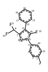 Cc1ccc(-n2nc(C(F)F)c(-c3ccccc3)c2F)cc1